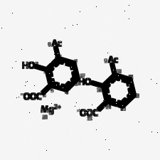 CC(=O)c1cccc(C(=O)[O-])c1O.CC(=O)c1cccc(C(=O)[O-])c1O.[Mg+2]